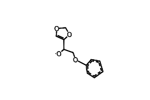 [O]C(COc1ccccc1)C1=COCO1